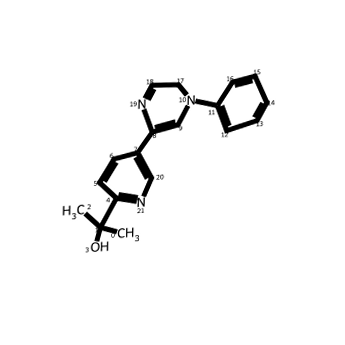 CC(C)(O)c1ccc(C2=CN(c3ccccc3)CC=N2)cn1